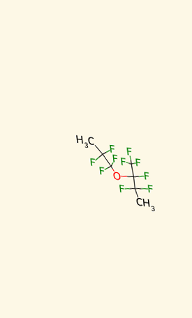 CC(F)(F)C(F)(F)OC(F)(C(C)(F)F)C(F)(F)F